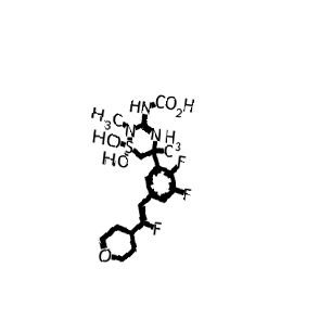 CN1C(NC(=O)O)=NC(C)(c2cc(/C=C(\F)C3CCOCC3)cc(F)c2F)CS1(O)O